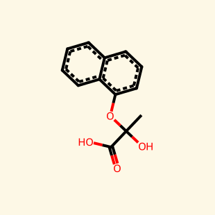 CC(O)(Oc1cccc2ccccc12)C(=O)O